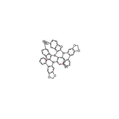 CC(C)c1cc2c3c(c1)N(c1cc4c(cc1-c1ccccc1)OCO4)c1oc4ccc(C(C)(C)C)cc4c1B3c1c(oc3ccc(C(C)(C)C)cc13)N2c1cc2c(cc1-c1ccccc1)OCO2